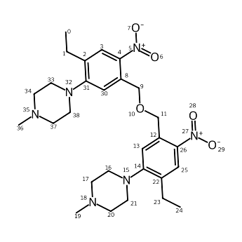 CCc1cc([N+](=O)[O-])c(COCc2cc(N3CCN(C)CC3)c(CC)cc2[N+](=O)[O-])cc1N1CCN(C)CC1